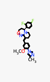 COc1cc(/C=C2\CCCN3C2=NOCC[C@H]3c2ccc(F)cc2F)ccc1-n1cnc(C)c1